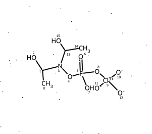 CC(O)N(OP(=O)(O)O[Cl+3]([O-])([O-])[O-])C(C)O